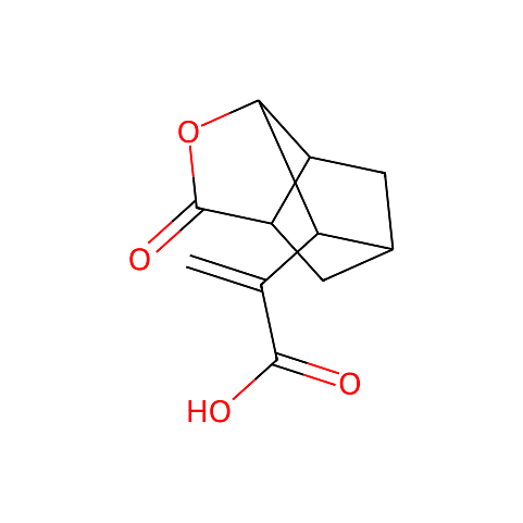 C=C(C(=O)O)C1C2CC3C(=O)OC1C3C2